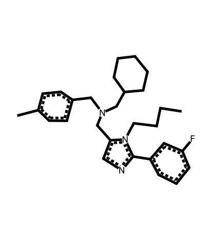 CCCCn1c(CN(Cc2ccc(C)cc2)CC2CCCCC2)cnc1-c1cccc(F)c1